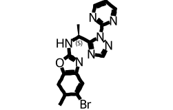 CC1Cc2oc(N[C@@H](C)c3ncnn3-c3ncccn3)nc2C=C1Br